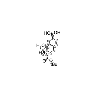 CC1C2Cc3ccc(B(O)O)cc3[C@]1(C)CCN2C(=O)OC(C)(C)C